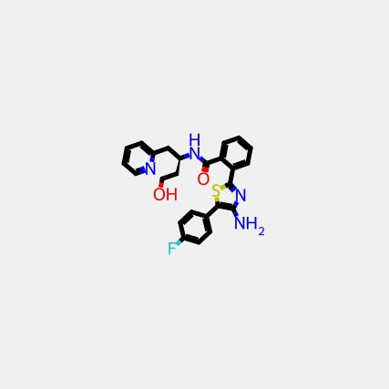 Nc1nc(-c2ccccc2C(=O)N[C@@H](CCO)Cc2ccccn2)sc1-c1ccc(F)cc1